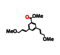 COCC=Cc1cc(C=CCOC)cc(C(=O)OC)c1